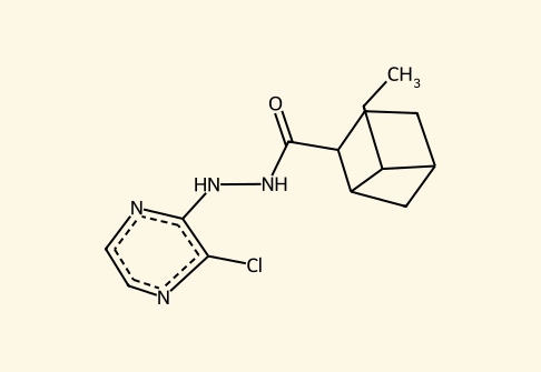 CCC1C2CCC(C(=O)NNc3nccnc3Cl)C1C2